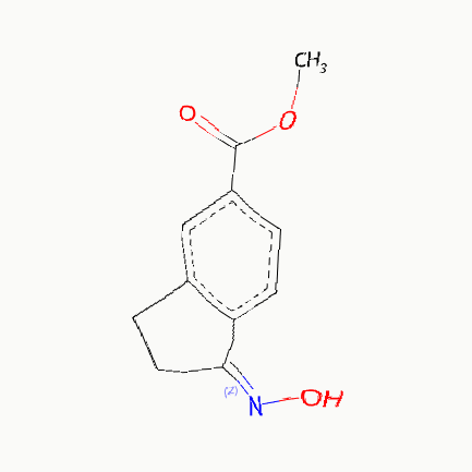 COC(=O)c1ccc2c(c1)CC/C2=N/O